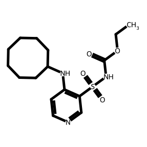 CCOC(=O)NS(=O)(=O)c1cnccc1NC1CCCCCCC1